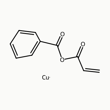 C=CC(=O)OC(=O)c1ccccc1.[Cu]